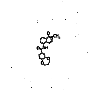 Cn1ccc2c(NC(=O)c3ccc4c(c3)OCCCO4)cccc2c1=O